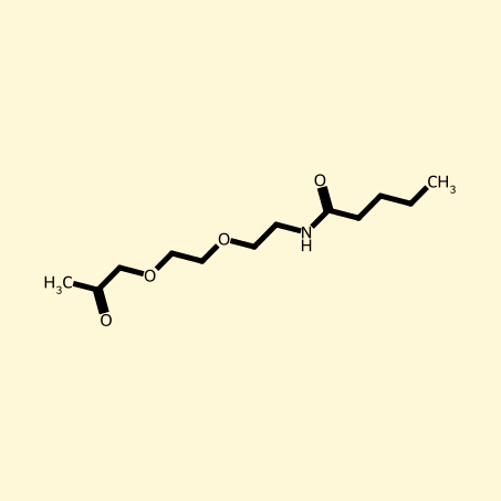 CCCCC(=O)NCCOCCOCC(C)=O